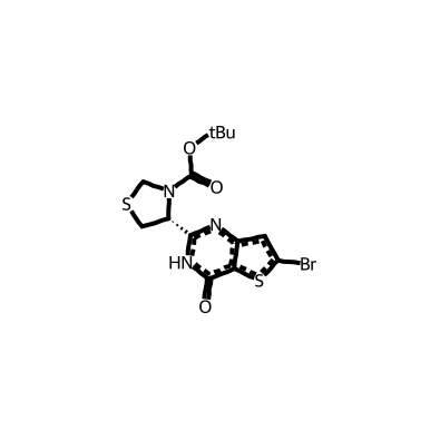 CC(C)(C)OC(=O)N1CSC[C@H]1c1nc2cc(Br)sc2c(=O)[nH]1